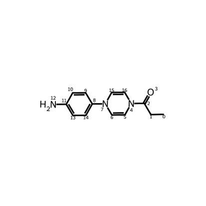 CCC(=O)N1C=CN(c2ccc(N)cc2)C=C1